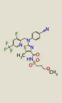 COCCCS(=O)(=O)NC(=O)c1nc(N(Cc2ncc(C(F)(F)F)cc2F)c2ccc(C#N)cc2)sc1C